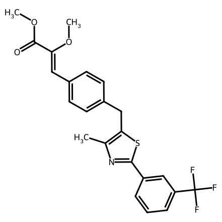 COC(=O)C(=Cc1ccc(Cc2sc(-c3cccc(C(F)(F)F)c3)nc2C)cc1)OC